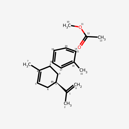 C=C(C)[C@H]1CC=C(C)CC1.COC(C)=O.Cc1ccccc1